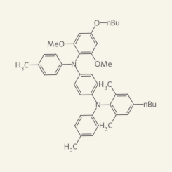 CCCCOc1cc(OC)c(N(c2ccc(C)cc2)c2ccc(N(c3ccc(C)cc3)c3c(C)cc(CCCC)cc3C)cc2)c(OC)c1